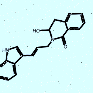 O=C1c2ccccc2CC(O)N1C/C=C/c1c[nH]c2ccccc12